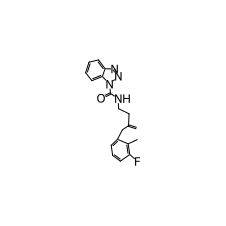 C=C(CCNC(=O)n1nnc2ccccc21)Cc1cccc(F)c1C